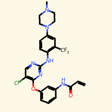 C=CC(=O)Nc1cccc(Oc2nc(Nc3ccc(N4CCN(C)CC4)cc3C(F)(F)F)ncc2Cl)c1